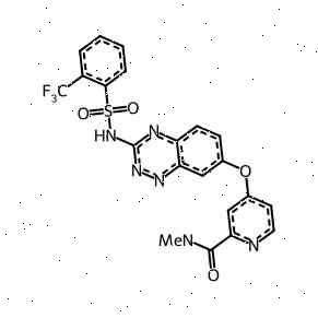 CNC(=O)c1cc(Oc2ccc3nc(NS(=O)(=O)c4ccccc4C(F)(F)F)nnc3c2)ccn1